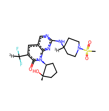 [2H]C1(Nc2ncc3cc(C([2H])(F)F)c(=O)n([C@H]4CCC[C@]4(C)O)c3n2)CCN(S(C)(=O)=O)CC1